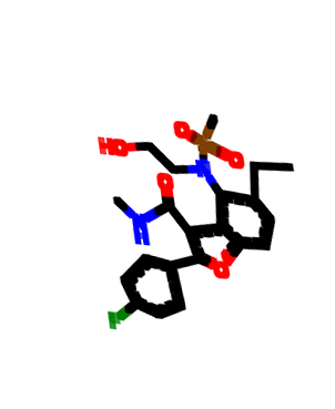 CCc1ccc2oc(-c3ccc(F)cc3)c(C(=O)NC)c2c1N(CCO)S(C)(=O)=O